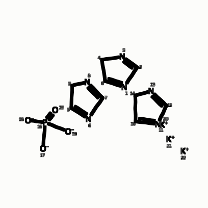 C1=NC=NC1.C1=NC=NC1.C1=NC=NC1.O=P([O-])([O-])[O-].[K+].[K+].[K+]